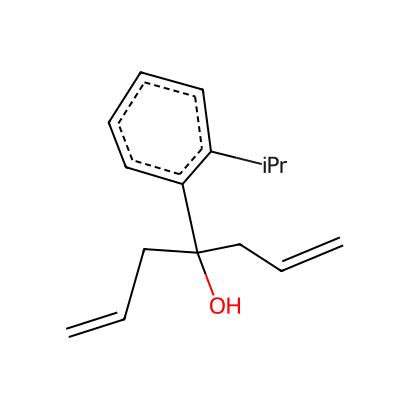 C=CCC(O)(CC=C)c1ccccc1C(C)C